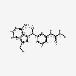 CCc1cc(C(=O)c2cncc(NC(=O)NC)c2)c2c(N)ncnn12